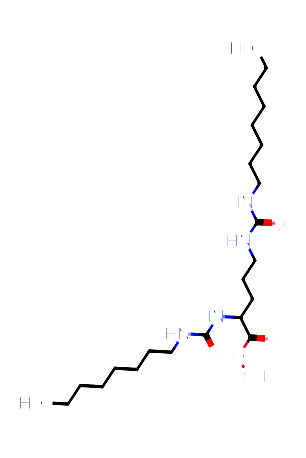 CCCCCCCCNC(=O)NCCCC(NC(=O)NCCCCCCCC)C(=O)OC